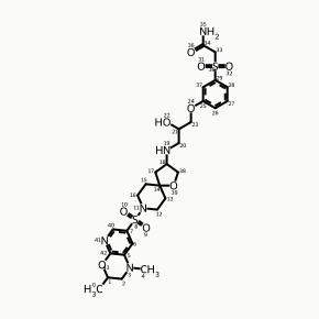 CC1CN(C)c2cc(S(=O)(=O)N3CCC4(CC3)CC(NCC(O)COc3cccc(S(=O)(=O)CC(N)=O)c3)CO4)cnc2O1